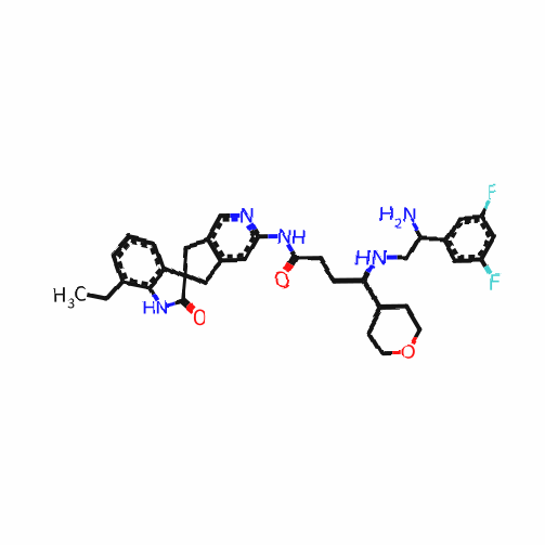 CCc1cccc2c1NC(=O)C21Cc2cnc(NC(=O)CCC(NCC(N)c3cc(F)cc(F)c3)C3CCOCC3)cc2C1